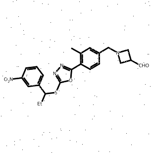 CCC(Sc1nnc(-c2ccc(CN3CC(C=O)C3)cc2C)o1)c1cccc([N+](=O)[O-])c1